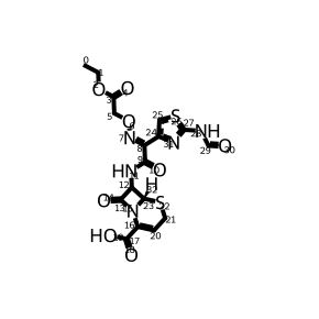 CCOC(=O)CON=C(C(=O)NC1C(=O)N2C(C(=O)O)=CCS[C@@H]12)c1csc(NC=O)n1